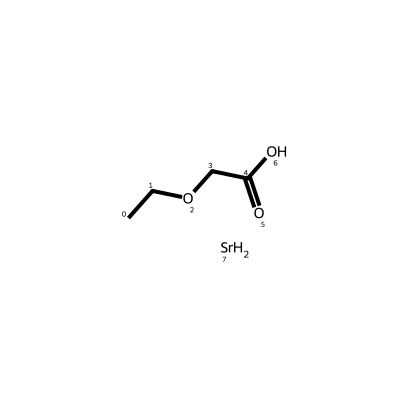 CCOCC(=O)O.[SrH2]